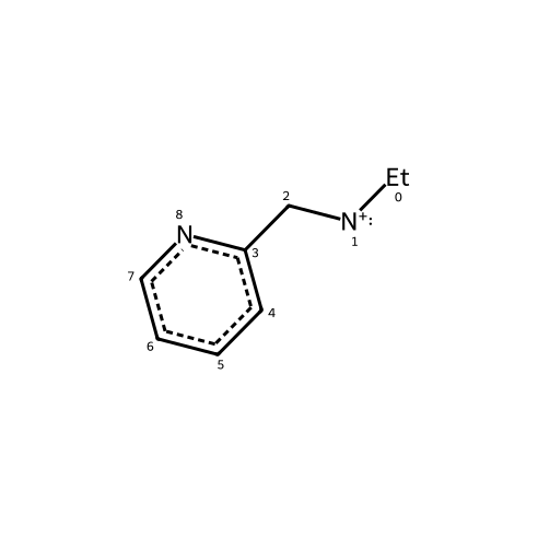 CC[N+]Cc1ccccn1